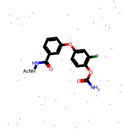 CC(=O)NNC(=O)c1cccc(Oc2ccc(OC(N)=O)c(F)c2)c1